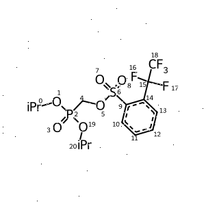 CC(C)OP(=O)(COS(=O)(=O)c1ccccc1C(F)(F)C(F)(F)F)OC(C)C